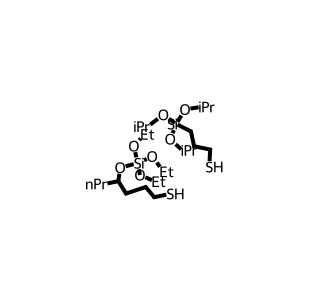 CC(C)O[Si](CCCS)(OC(C)C)OC(C)C.CCCC(CCCS)O[Si](OCC)(OCC)OCC